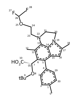 Cc1ccc(-c2c([C@H](OC(C)(C)C)C(=O)O)c(C)c3c4c2cc(C)n4CCN3CCOC(F)F)cc1